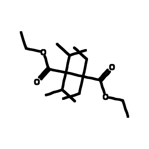 CCOC(=O)C(CC)(CC)C(C(=O)OCC)(C(C)C)C(C)C